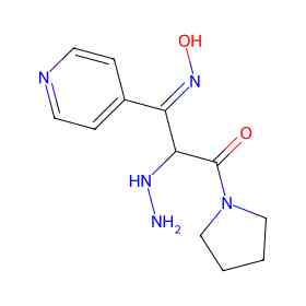 NNC(C(=O)N1CCCC1)/C(=N/O)c1ccncc1